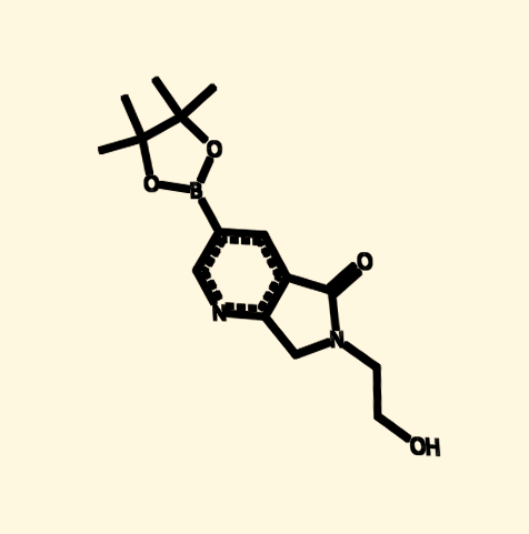 CC1(C)OB(c2cnc3c(c2)C(=O)N(CCO)C3)OC1(C)C